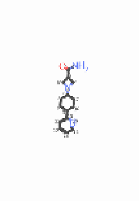 NC(=O)C1CN(C2CCC(c3ccccn3)CC2)C1